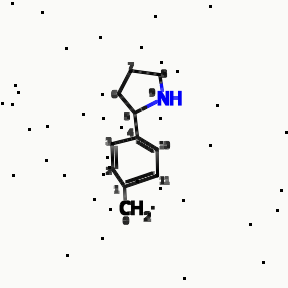 [CH2]c1ccc(C2CCCN2)cc1